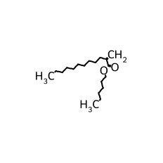 C=C(CCCCCCCCCC)C(=O)OCCCCCC